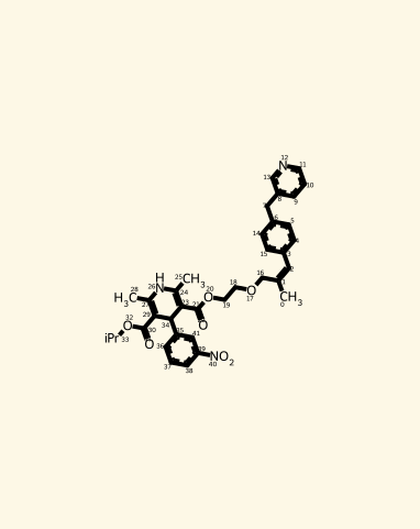 CC(=Cc1ccc(Cc2cccnc2)cc1)COCCOC(=O)C1=C(C)NC(C)=C(C(=O)OC(C)C)C1c1cccc([N+](=O)[O-])c1